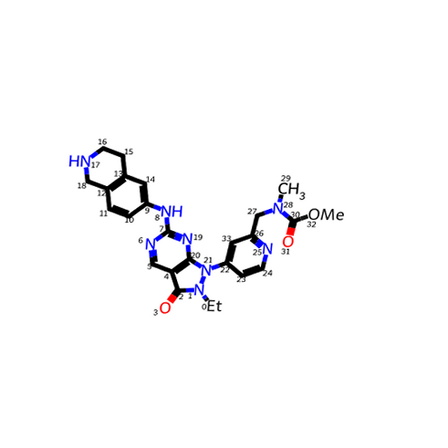 CCn1c(=O)c2cnc(Nc3ccc4c(c3)CCNC4)nc2n1-c1ccnc(CN(C)C(=O)OC)c1